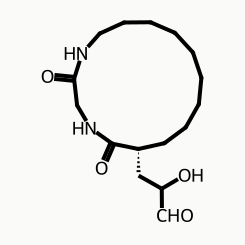 O=CC(O)C[C@H]1CCCCCCCCCNC(=O)CNC1=O